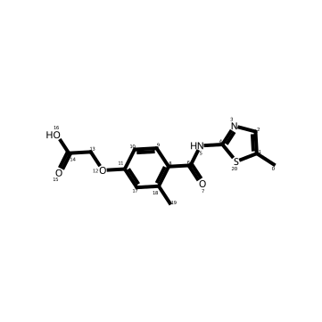 Cc1cnc(NC(=O)c2ccc(OCC(=O)O)cc2C)s1